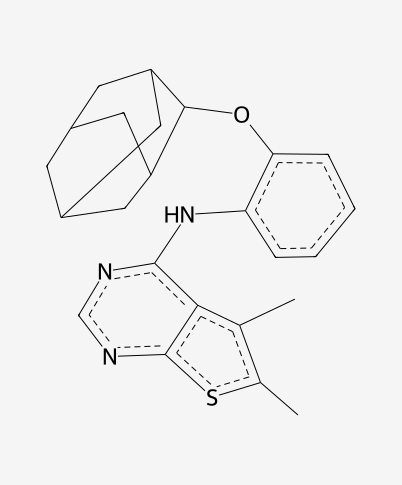 Cc1sc2ncnc(Nc3ccccc3OC3C4CC5CC(C4)CC3C5)c2c1C